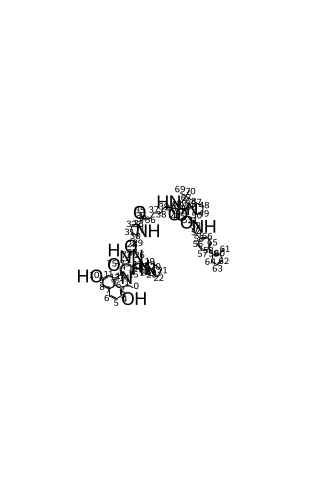 CCc1c(O)ccc2cc(O)cc(-c3ncc4c(N5CC6CCC(C5)N6)nc(OC[C@@H]5CCC(C(=O)CCCCC(=O)NC(C(=O)N6CCC[C@@H]6C(=O)NCc6ccc(C7=C(C)C=CC7)cc6)C(C)(C)C)N5)nc4c3O)c12